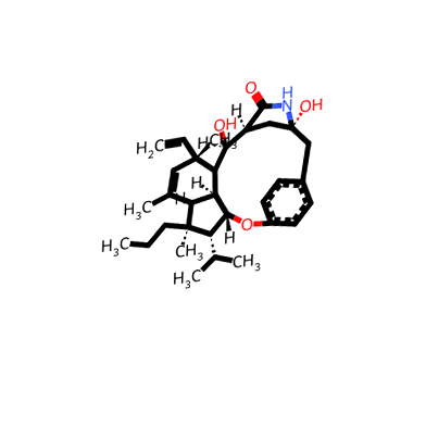 C=C[C@@]1(C)C=C(C)[C@@H]2[C@H]3C1[C@@H](O)[C@@H]1C[C@](O)(Cc4ccc(cc4)O[C@@H]3[C@H](C(C)C)[C@@]2(C)CCC)NC1=O